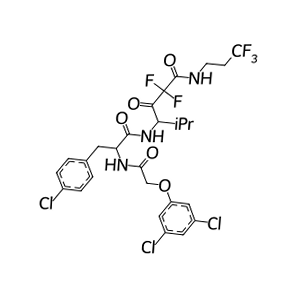 CC(C)C(NC(=O)C(Cc1ccc(Cl)cc1)NC(=O)COc1cc(Cl)cc(Cl)c1)C(=O)C(F)(F)C(=O)NCCC(F)(F)F